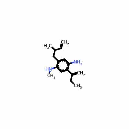 C=CC(C)Cc1cc(N)c(C(=C)CC)cc1NC